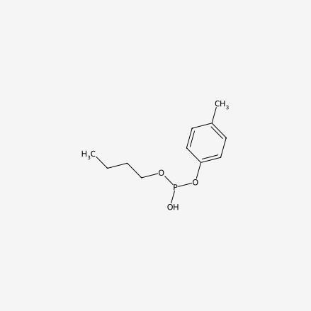 CCCCOP(O)Oc1ccc(C)cc1